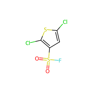 O=S(=O)(F)c1cc(Cl)sc1Cl